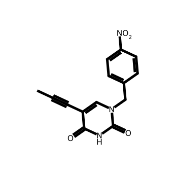 CC#Cc1cn(Cc2ccc([N+](=O)[O-])cc2)c(=O)[nH]c1=O